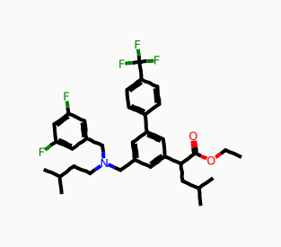 CCOC(=O)C(CC(C)C)c1cc(CN(CCC(C)C)Cc2cc(F)cc(F)c2)cc(-c2ccc(C(F)(F)F)cc2)c1